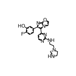 Oc1cc(-c2nc3occn3c2-c2ccnc(NCCN3CCNS3)n2)ccc1F